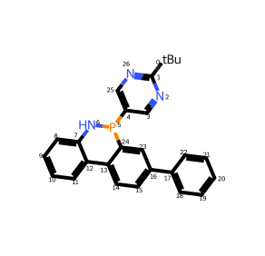 CC(C)(C)c1ncc(P2Nc3ccccc3-c3ccc(-c4ccccc4)cc32)cn1